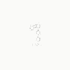 NC(=O)c1ccc(-c2ccc(-c3cccc4oc5ccccc5c34)cc2)cc1